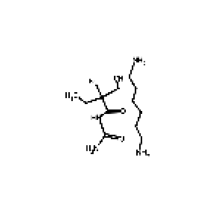 CCC(Br)(CC)C(=O)NC(N)=O.NCCCCCCN